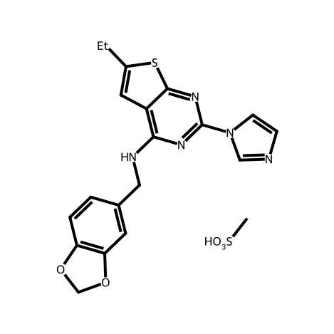 CCc1cc2c(NCc3ccc4c(c3)OCO4)nc(-n3ccnc3)nc2s1.CS(=O)(=O)O